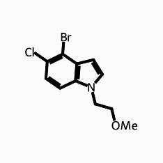 COCCn1ccc2c(Br)c(Cl)ccc21